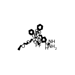 C#CCOCCOCCOC(=O)N(OC(=O)C(F)(F)F)C(Cc1ccc(NC(=N)N)cc1)P(=O)(Oc1ccccc1)Oc1ccccc1